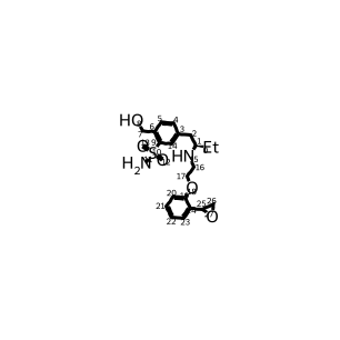 CC[C@H](Cc1ccc(CO)c(S(N)(=O)=O)c1)NCCOc1ccccc1C1CO1